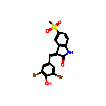 CS(=O)(=O)c1ccc2c(c1)/C(=C/c1cc(Br)c(O)c(Br)c1)C(=O)N2